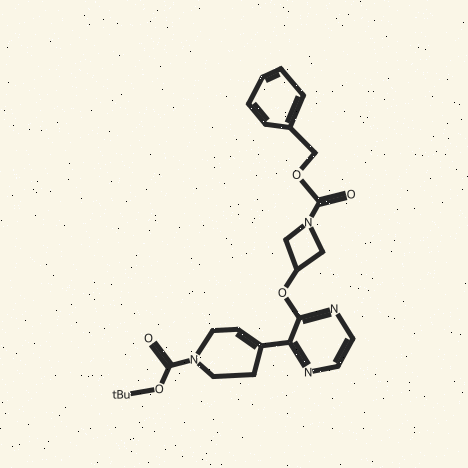 CC(C)(C)OC(=O)N1CC=C(c2nccnc2OC2CN(C(=O)OCc3ccccc3)C2)CC1